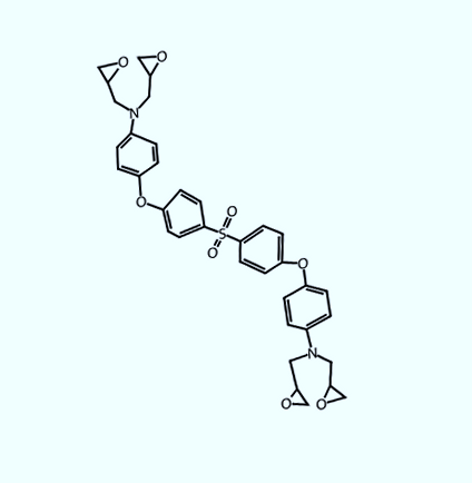 O=S(=O)(c1ccc(Oc2ccc(N(CC3CO3)CC3CO3)cc2)cc1)c1ccc(Oc2ccc(N(CC3CO3)CC3CO3)cc2)cc1